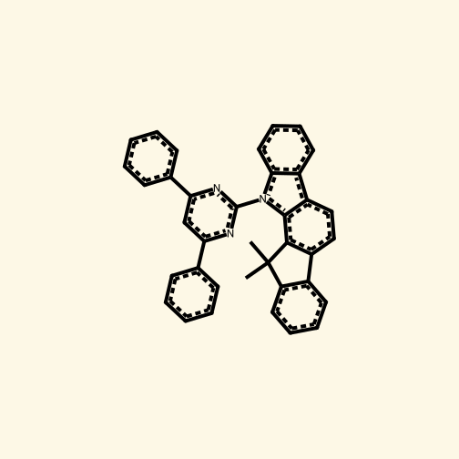 CC1(C)c2ccccc2-c2ccc3c4ccccc4n(-c4nc(-c5ccccc5)cc(-c5ccccc5)n4)c3c21